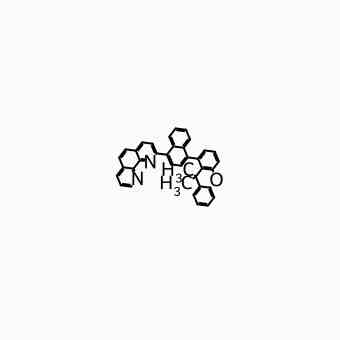 CC1(C)c2ccccc2Oc2cccc(-c3ccc(-c4ccc5ccc6cccnc6c5n4)c4ccccc34)c21